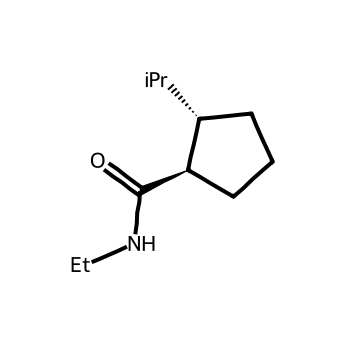 CCNC(=O)[C@@H]1CCC[C@H]1C(C)C